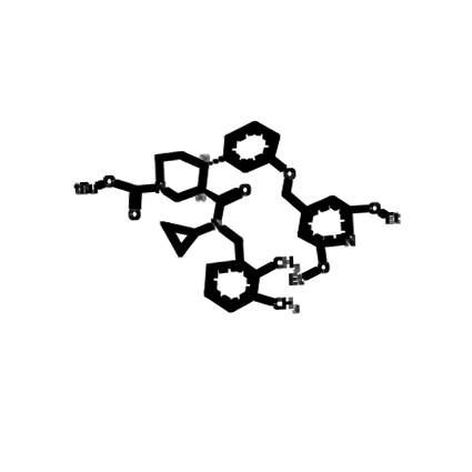 CCOc1cc(COc2cccc([C@H]3CCN(C(=O)OC(C)(C)C)C[C@@H]3C(=O)N(Cc3cccc(C)c3C)C3CC3)c2)cc(OCC)n1